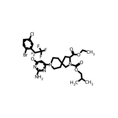 CCOC(=O)C1CC2(CCN(c3cc(O[C@H](c4cc(Cl)ccc4Br)C(F)(F)F)nc(N)n3)CC2)CN1C(=O)OCC(C)C